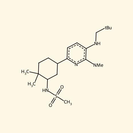 CNc1nc(C2CCC(C)(C)C(NS(C)(=O)=O)C2)ccc1NCC(C)(C)C